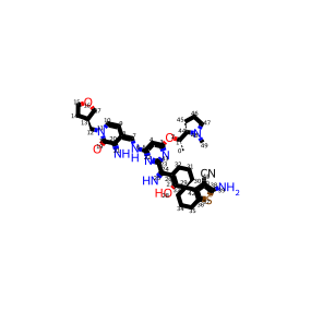 C[C@H](Oc1cc(N/C=C2/C=CN(C[C@H]3CCOC3)C(=O)C2=N)nc(C(=N)C2=C(O)[C@@]3(CCC2)CCCc2sc(N)c(C#N)c23)n1)[C@@H]1CCCN1C